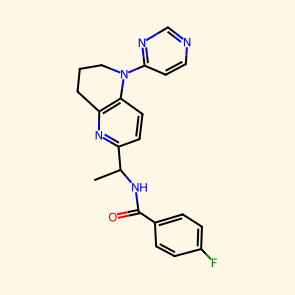 CC(NC(=O)c1ccc(F)cc1)c1ccc2c(n1)CCCN2c1ccncn1